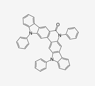 O=c1c2cc3c4ccccc4n(-c4ccccc4)c3cc2c2cc3c(cc2n1-c1ccccc1)c1ccccc1n3-c1ccccc1